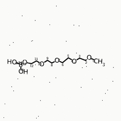 COCCOCCOCCOCCOB(O)O